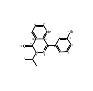 CC(C)n1nc(-c2cccc(Br)c2)c2ncccc2c1=O